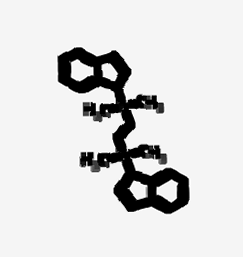 [CH3][Zr]([CH3])([CH2][CH2][Zr]([CH3])([CH3])[CH]1C=Cc2ccccc21)[CH]1C=Cc2ccccc21